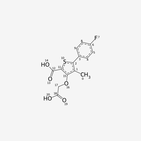 Cc1c(-c2ccc(F)cc2)sc(C(=O)O)c1OCC(=O)O